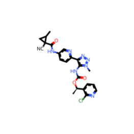 CC1CC1(C#N)C(=O)Nc1ccc(-c2nnn(C)c2NC(=O)O[C@H](C)c2cccnc2Cl)nc1